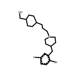 OCC1CCC(CCCN2CCC(Cc3cc(F)ccc3Br)CC2)CC1